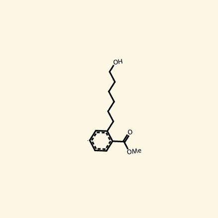 COC(=O)c1cc[c]cc1CCCCCCO